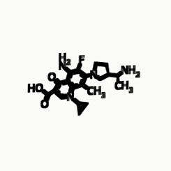 Cc1c(N2CC[C@@H]([C@H](C)N)C2)c(F)c(N)c2c(=O)c(C(=O)O)cn(C3CC3)c12